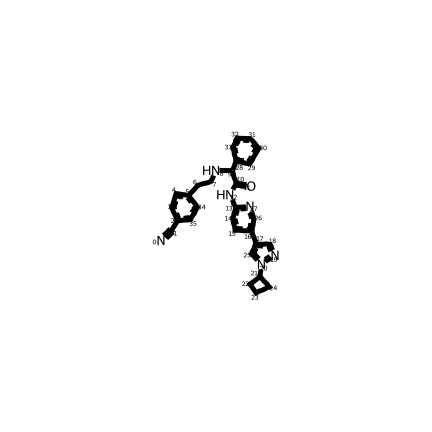 N#Cc1ccc(CCNC(C(=O)Nc2ccc(-c3cnn(C4CCC4)c3)cn2)c2ccccc2)cc1